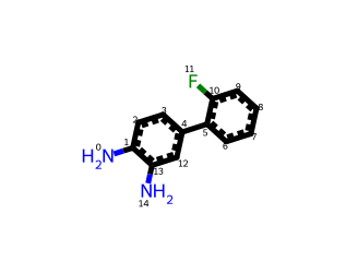 Nc1ccc(-c2ccccc2F)cc1N